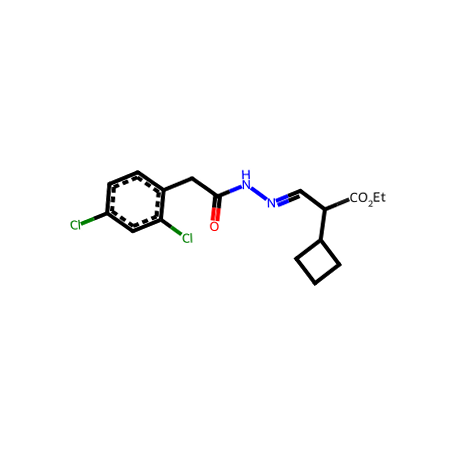 CCOC(=O)C(/C=N/NC(=O)Cc1ccc(Cl)cc1Cl)C1CCC1